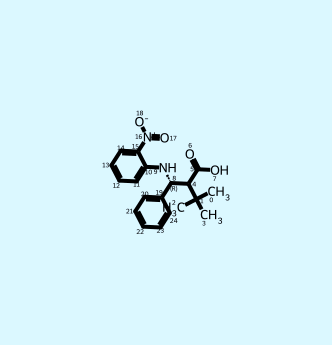 CC(C)(C)C(C(=O)O)[C@@H](Nc1ccccc1[N+](=O)[O-])c1ccccc1